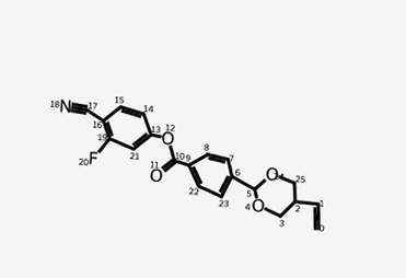 C=CC1COC(c2ccc(C(=O)Oc3ccc(C#N)c(F)c3)cc2)OC1